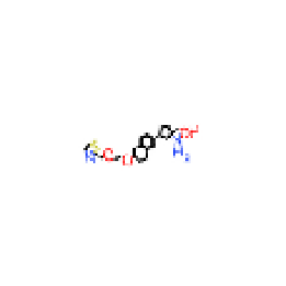 N[C@]1(CO)CC[C@H](c2ccc3c(c2)CCC(OCCOCc2nccs2)C3)C1